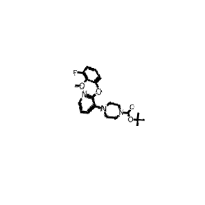 COc1c(F)cccc1Oc1ncccc1N1CCN(C(=O)OC(C)(C)C)CC1